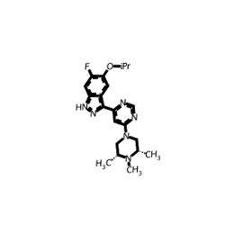 CC(C)Oc1cc2c(-c3cc(N4C[C@@H](C)N(C)[C@@H](C)C4)ncn3)n[nH]c2cc1F